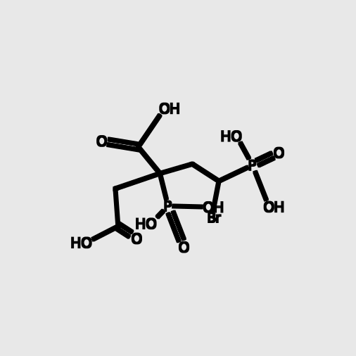 O=C(O)CC(CC(Br)P(=O)(O)O)(C(=O)O)P(=O)(O)O